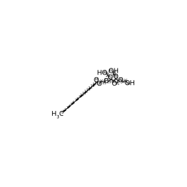 CC#CC#CC#CC#CC#CC#CC#CC#CC(=O)OCCOCC(OCCO)C1OC[C@@H](OCCO)[C@@H]1OCCO